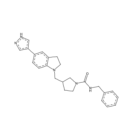 O=C(NCc1ccccc1)N1CCC(CN2CCc3cc(-c4cn[nH]c4)ccc32)C1